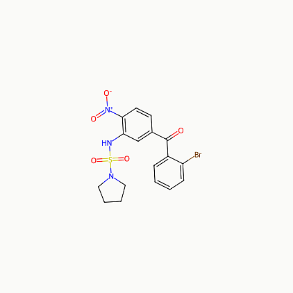 O=C(c1ccc([N+](=O)[O-])c(NS(=O)(=O)N2CCCC2)c1)c1ccccc1Br